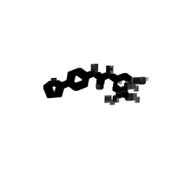 C[N+](C)(C)C[C@@H](CC(=O)[O-])NC(=O)Nc1ccc(-c2cccs2)cc1